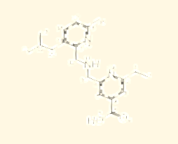 CCc1cc(C(=O)O)cc(CNCc2nc(C)ccc2CC(C)C)n1